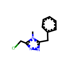 Cn1c(CCl)nnc1Cc1ccccc1